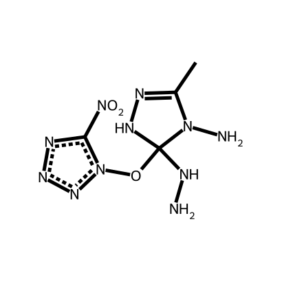 CC1=NNC(NN)(On2nnnc2[N+](=O)[O-])N1N